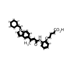 CC(=CC(=O)Nc1ccccc1OCCCC(=O)O)c1ccc2c(ccn2CC2CCCCC2)c1